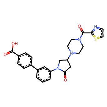 O=C(O)c1ccc(-c2cccc(N3CC(N4CCN(C(=O)c5nccs5)CC4)CC3=O)c2)cc1